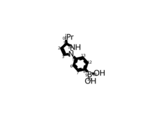 CC(C)C1C=CN(c2ccc(B(O)O)cc2)N1